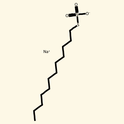 CCCCCCCCCCCCSS(=O)(=O)[O-].[Na+]